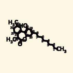 CCCCCCCCCc1cc(O)c2c(c1)OC(=O)C(C)C1=C2CC(C)CC1